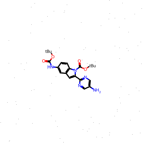 CC(C)(C)OC(=O)Nc1ccc2c(c1)cc(-c1ncc(N)cn1)n2C(=O)OC(C)(C)C